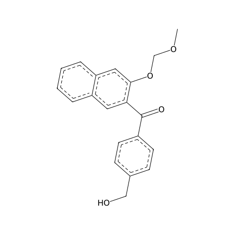 COCOc1cc2ccccc2cc1C(=O)c1ccc(CO)cc1